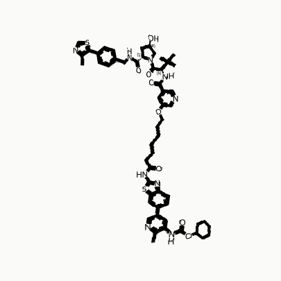 Cc1ncc(-c2ccc3nc(NC(=O)CCCCCCOc4cncc(C(=O)N[C@H](C(=O)N5C[C@H](O)C[C@H]5C(=O)NCc5ccc(-c6scnc6C)cc5)C(C)(C)C)c4)sc3c2)cc1NC(=O)OC1CCCCC1